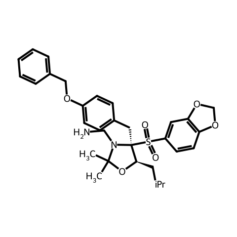 CC(C)C[C@H]1OC(C)(C)N(CN)[C@@]1(Cc1ccc(OCc2ccccc2)cc1)S(=O)(=O)c1ccc2c(c1)OCO2